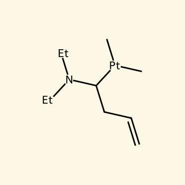 C=CC[CH](N(CC)CC)[Pt]([CH3])[CH3]